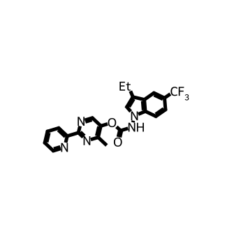 CCc1cn(NC(=O)Oc2cnc(-c3ccccn3)nc2C)c2ccc(C(F)(F)F)cc12